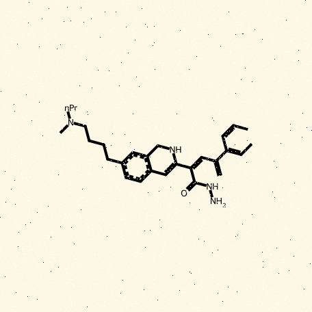 C=C(/C=C(\C(=O)NN)C1=Cc2ccc(CCCCN(C)CCC)cc2CN1)C(/C=C\C)=C/C